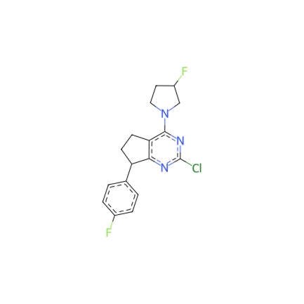 Fc1ccc(C2CCc3c2nc(Cl)nc3N2CCC(F)C2)cc1